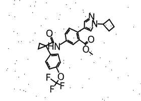 COC(=O)c1cc(NC(=O)C2(c3ccc(OC(F)(F)F)cc3)CC2)ccc1-c1cnn(C2CCC2)c1